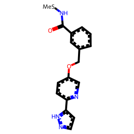 CSNC(=O)c1cccc(COc2ccc(-c3ccn[nH]3)nc2)c1